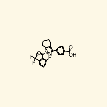 O=C(O)c1ccc(-c2nn(C(=O)c3c(F)cccc3C(F)(F)F)c3c2CCCC3)cc1